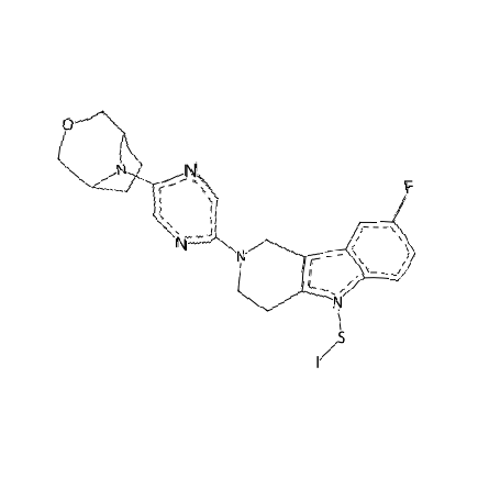 Fc1ccc2c(c1)c1c(n2SI)CCN(c2cnc(N3C4CCC3COC4)cn2)C1